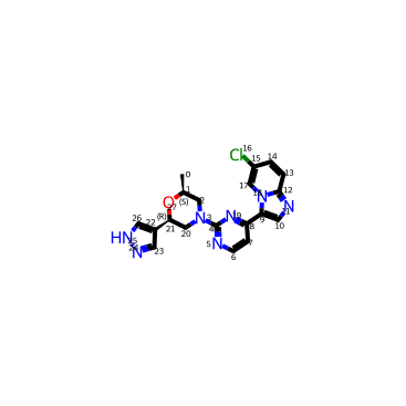 C[C@H]1CN(c2nccc(-c3cnc4ccc(Cl)cn34)n2)C[C@@H](c2cn[nH]c2)O1